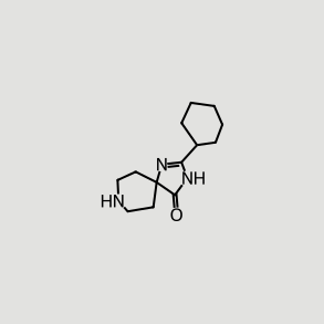 O=C1NC(C2CCCCC2)=NC12CCNCC2